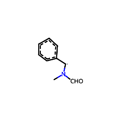 CN([CH]c1ccccc1)C=O